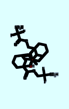 CC1(O)CC2CCCC(COC(=O)C(F)(F)S(=O)(=O)O)(C1)C2C1(C)C=C2CCCC(C(=O)OCC(F)(F)S(=O)(=O)O)(C2)C1